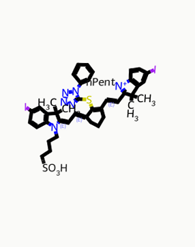 CCCCC[N+]1=C(/C=C/C2=C(Sc3nnnn3-c3ccccc3)C(=C/C=C3/N(CCCCS(=O)(=O)O)c4ccc(I)cc4C3(C)C)/CCC2)C(C)(C)c2cc(I)ccc21